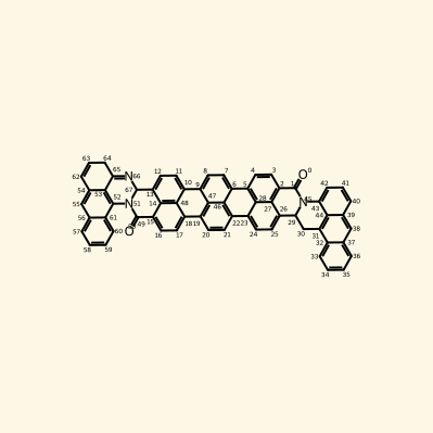 O=C1c2ccc3c4ccc5c6ccc7c8c(ccc(c9ccc(c%10ccc(c2c%103)C2Cc3c%10ccccc%10cc%10cccc(c3%10)N12)c4c95)c86)C(=O)N1c2c3c(cc4ccccc24)C=CCC3=NC71